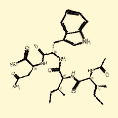 CC[C@H](C)[C@H](NC(C)=O)C(=O)N[C@H](C(=O)N[C@@H](Cc1c[nH]c2ccccc12)C(=O)N[C@@H](CC(N)=O)C(=O)O)[C@@H](C)CC